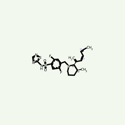 C=C(/C=C\C=C/C)[C@H]1[C@@H](C)CCCN1Cc1cc(F)c(S(=O)(=O)Nc2ncns2)cc1F